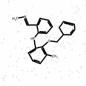 C/N=C/c1ccccc1Pc1cccc(C)c1OCC1C=CC=CC1